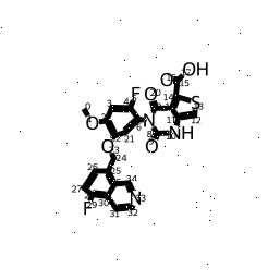 COc1cc(F)c(-n2c(=O)[nH]c3csc(C(=O)O)c3c2=O)cc1OCc1ccc(F)c2ccncc12